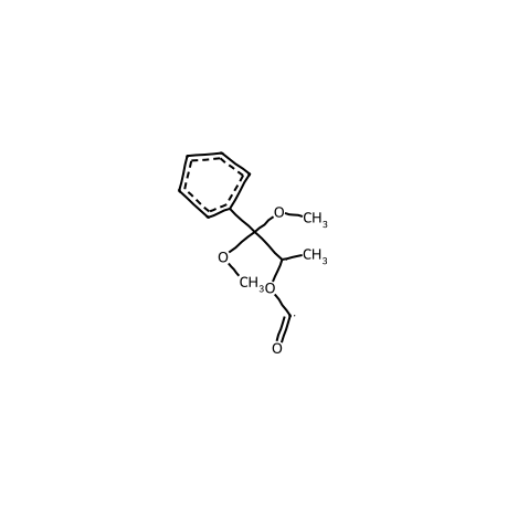 COC(OC)([C](C)O[C]=O)c1ccccc1